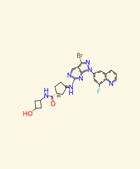 O=C(NC1CC(O)C1)[C@@H]1CC[C@@H](Nc2ncc3c(Br)nn(-c4cc(F)c5ncccc5c4)c3n2)C1